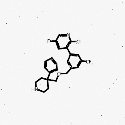 Fc1cnc(Cl)c(-c2cc(COCC3(c4ccccc4)CCNCC3)cc(C(F)(F)F)c2)c1